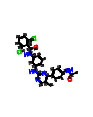 CC(=O)Nc1ccc(-c2nc(Nc3cccc(NC(=O)c4c(Cl)cccc4Cl)c3)ncc2C)cc1